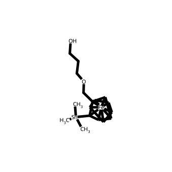 [CH3][Sn]([CH3])([CH3])[C]12[CH]3[CH]4[CH]5[C]1(COCCCO)[Fe]45321678[CH]2[CH]1[CH]6[CH]7[CH]28